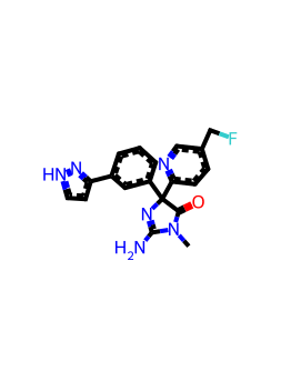 CN1C(=O)C(c2cccc(-c3cc[nH]n3)c2)(c2ccc(CF)cn2)N=C1N